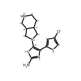 Nc1nc(-c2cc(Cl)cs2)c(N2CC3CCNCC3C2)s1